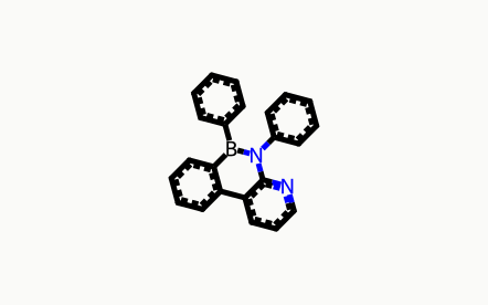 c1ccc(B2c3ccccc3-c3cccnc3N2c2ccccc2)cc1